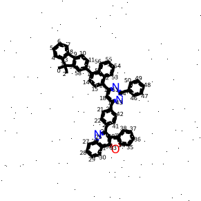 CC1(C)c2ccccc2-c2ccc(-c3ccc(-c4cc(-c5ccc(-c6nc7ccccc7c7oc8ccccc8c67)cc5)nc(-c5ccccc5)n4)c4ccccc34)cc21